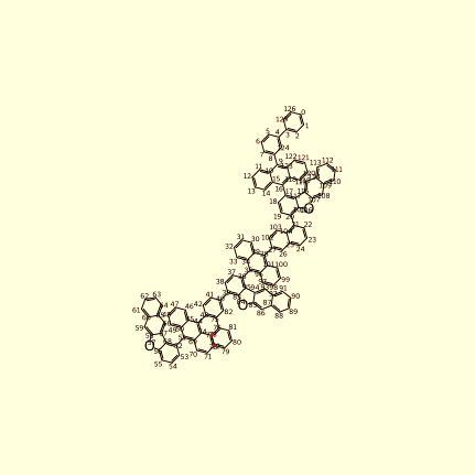 c1ccc(-c2cccc(-c3c4ccccc4c(-c4ccc(-c5cccc6cc(-c7c8ccccc8c(-c8ccc(-c9ccc(-c%10c%11ccccc%11c(-c%11cccc%12oc%13cc%14ccccc%14cc%13c%11%12)c%11ccccc%10%11)c(-c%10ccccc%10)c9)c9oc%10cc%11ccccc%11cc%10c89)c8ccccc78)ccc56)c5oc6cc7ccccc7cc6c45)c4ccccc34)c2)cc1